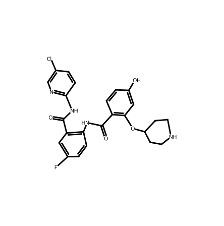 O=C(Nc1ccc(Cl)cn1)c1cc(F)ccc1NC(=O)c1ccc(O)cc1OC1CCNCC1